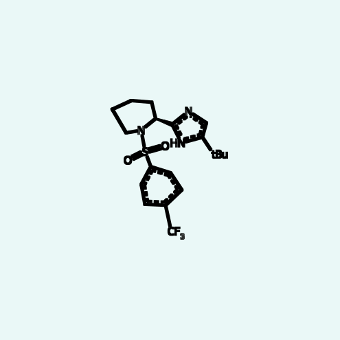 CC(C)(C)c1cnc([C@@H]2CCCCN2S(=O)(=O)c2ccc(C(F)(F)F)cc2)[nH]1